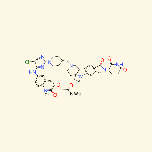 CNC(=O)COc1cc2cc(Nc3nc(N4CCC(CN5CCC6(CC5)CCN6c5ccc6c(c5)CN(C5CCC(=O)NC5=O)C6=O)CC4)ncc3Cl)ccc2n(C(C)C)c1=O